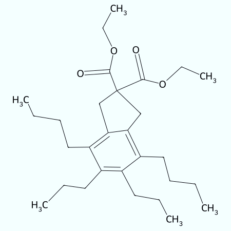 CCCCc1c(CCC)c(CCC)c(CCCC)c2c1CC(C(=O)OCC)(C(=O)OCC)C2